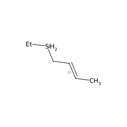 C/C=C/C[SiH2]CC